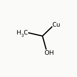 C[CH](O)[Cu]